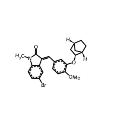 COc1ccc(/C=C2/C(=O)N(C)c3ccc(Br)cc32)cc1O[C@H]1C[C@@H]2CC[C@H]1C2